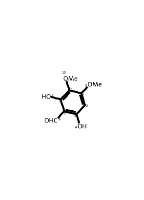 COc1cc(O)c(C=O)c(O)c1OC